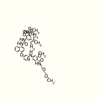 [CH2]COCCOCCNC(=O)c1ccc(Nc2cc(Oc3ccc(NC(=O)Nc4cc(C(C)(C)C)cc(NS(C)(=O)=O)c4OC)c4ccccc34)ccn2)cc1OC